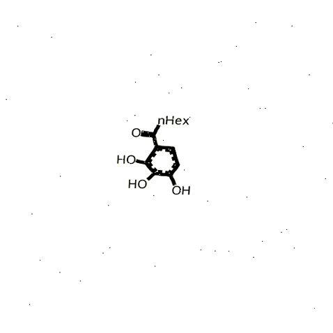 CCCCCCC(=O)c1ccc(O)c(O)c1O